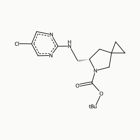 CC(C)(C)OC(=O)N1CC2(CC2)C[C@H]1CNc1ncc(Cl)cn1